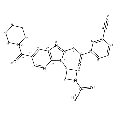 CC(=O)N1CC(n2c(NC(=O)c3cccc(C#N)c3)nc3cc(C(=O)N4CCCCC4)cnc32)C1